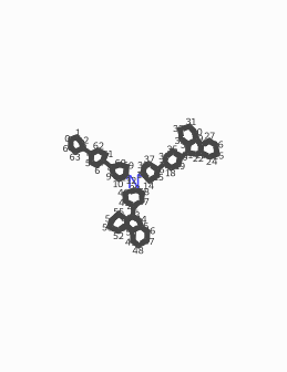 c1ccc(-c2ccc(-c3ccc(N(c4ccc(-c5ccc(-c6cc7ccccc7c7ccccc67)cc5)cc4)c4ccc(-c5cc6ccccc6c6ccccc56)cc4)cc3)cc2)cc1